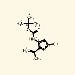 C=C(C)c1sc(Cl)cc1NC(=O)OC(C)(C)C